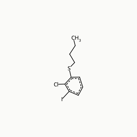 CCCCSc1cccc(I)c1Cl